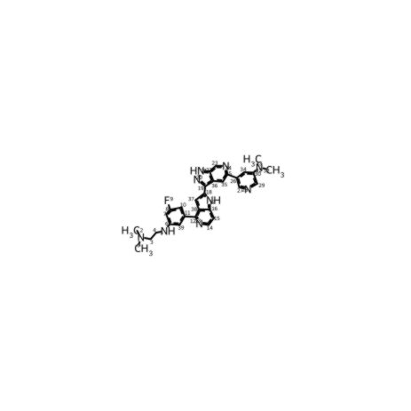 CN(C)CCNc1cc(F)cc(-c2nccc3[nH]c(-c4n[nH]c5cnc(-c6cncc(N(C)C)c6)cc45)cc23)c1